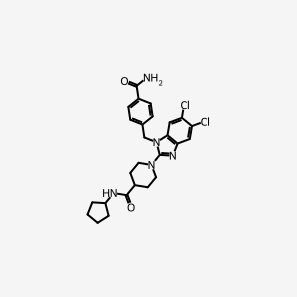 NC(=O)c1ccc(Cn2c(N3CCC(C(=O)NC4CCCC4)CC3)nc3cc(Cl)c(Cl)cc32)cc1